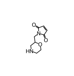 O=C1C=CC(=O)N1CC1CNCCO1